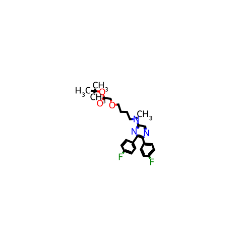 CN(CCCCOCC(=O)OC(C)(C)C)c1cnc(-c2ccc(F)cc2)c(-c2ccc(F)cc2)n1